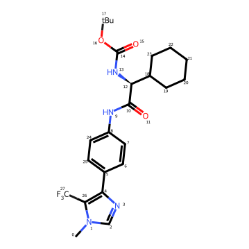 Cn1cnc(-c2ccc(NC(=O)[C@@H](NC(=O)OC(C)(C)C)C3CCCCC3)cc2)c1C(F)(F)F